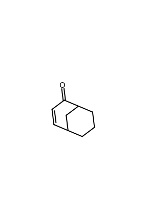 O=C1C=CC2CCCC1C2